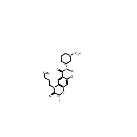 COCCCN1C(=O)[C@@H](C)Oc2cc(Cl)c(C(=O)N(C(C)C)[C@@H]3CCCN(C(=O)O)C3)cc21